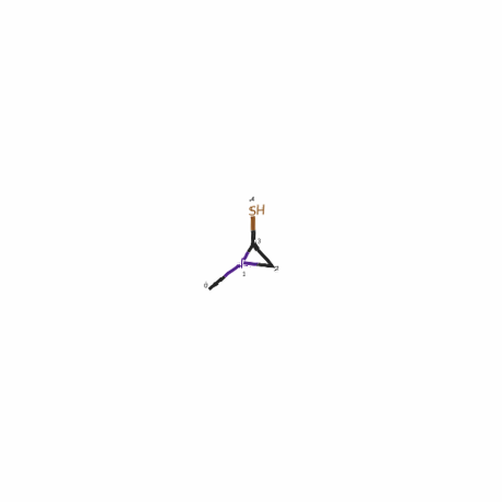 CI1CC1S